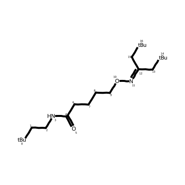 CC(C)(C)CCNC(=O)CCCCON=C(CC(C)(C)C)CC(C)(C)C